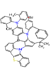 Cc1ccccc1N(c1ccc2c(c1)N1c3ccc(C(C)(C)C)cc3-c3ccc(cc3)C(C)(C)c3cc1c1c(c3)-n3c4c(cccc4c4sc5ccccc5c43)B21)c1ccccc1C